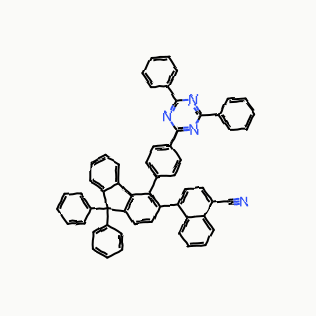 N#Cc1ccc(-c2ccc3c(c2-c2ccc(-c4nc(-c5ccccc5)nc(-c5ccccc5)n4)cc2)-c2ccccc2C3(c2ccccc2)c2ccccc2)c2ccccc12